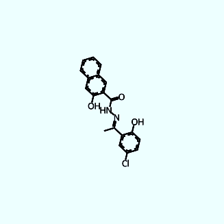 C/C(=N\NC(=O)c1cc2ccccc2cc1O)c1cc(Cl)ccc1O